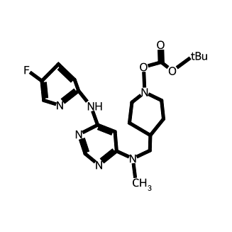 CN(CC1CCN(OC(=O)OC(C)(C)C)CC1)c1cc(Nc2ccc(F)cn2)ncn1